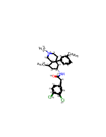 COc1cccc(C23CCN(C)CC2C(OC(C)=O)C[C@@H](NC(=O)Cc2ccc(Cl)c(Cl)c2)C3)c1